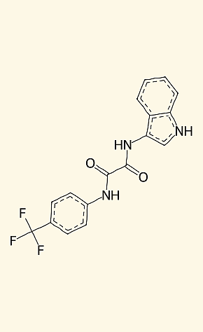 O=C(Nc1ccc(C(F)(F)F)cc1)C(=O)Nc1c[nH]c2ccccc12